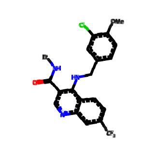 CCNC(=O)c1cnc2cc(C(F)(F)F)ccc2c1NCc1ccc(OC)c(Cl)c1